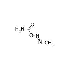 CN=NOC(N)=O